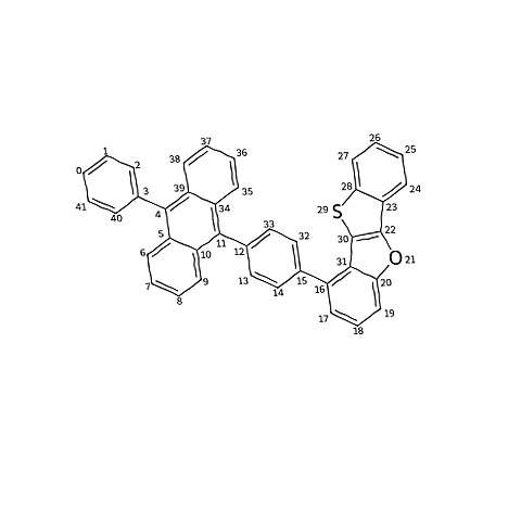 c1ccc(-c2c3ccccc3c(-c3ccc(-c4cccc5oc6c7ccccc7sc6c45)cc3)c3ccccc23)cc1